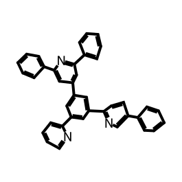 c1ccc(-c2ccc(-c3cc(-c4cc(-c5ccccc5)nc(-c5ccccc5)c4)cc(-c4ccccn4)c3)nc2)cc1